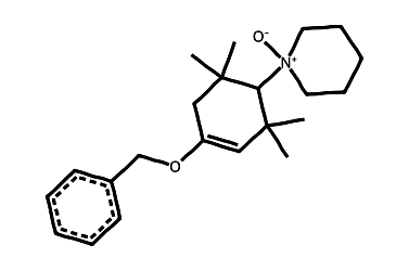 CC1(C)C=C(OCc2ccccc2)CC(C)(C)C1[N+]1([O-])CCCCC1